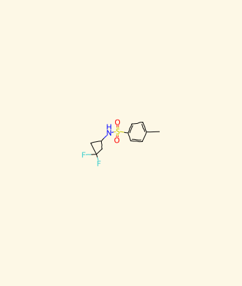 Cc1ccc(S(=O)(=O)NC2CC(F)(F)C2)cc1